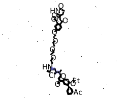 C=C/C(=C\C(Cl)=C(/C)c1cc(=O)c2cc(-c3cccc(C(C)=O)c3)c(OCC)cc2o1)NCCOCCOCCOCCOc1ccc2c(c1)C(=O)N(C1CCC(=O)NC1=O)C2=O